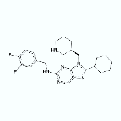 Fc1ccc(CNc2ncc3nc(C4CCCCC4)n(C[C@@H]4CCCNC4)c3n2)cc1F